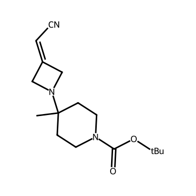 CC(C)(C)OC(=O)N1CCC(C)(N2CC(=CC#N)C2)CC1